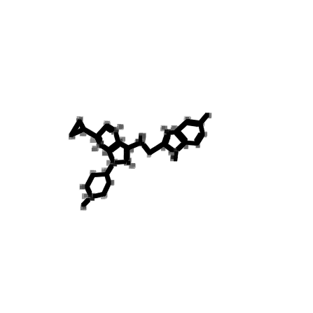 Cc1ccc2[nH]c(CNc3nn(C4CCN(C)CC4)c4nc(C5CC5)cnc34)nc2c1